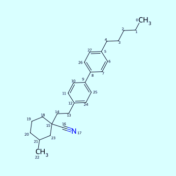 CCCCCc1ccc(-c2ccc(CCC3(C#N)CCCC(C)C3)cc2)cc1